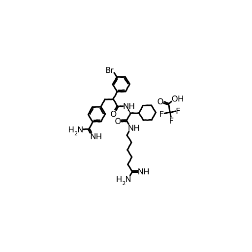 N=C(N)CCCCCNC(=O)[C@@H](NC(=O)C(Cc1ccc(C(=N)N)cc1)c1cccc(Br)c1)C1CCCCC1.O=C(O)C(F)(F)F